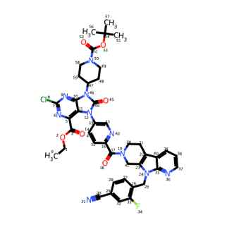 CCOC(=O)c1nc(Cl)nc2c1n(-c1ccc(C(=O)N3CCc4c(n(Cc5ccc(C#N)cc5F)c5ncccc45)C3)nc1)c(=O)n2C1CCN(C(=O)OC(C)(C)C)CC1